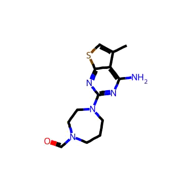 Cc1csc2nc(N3CCCN(C=O)CC3)nc(N)c12